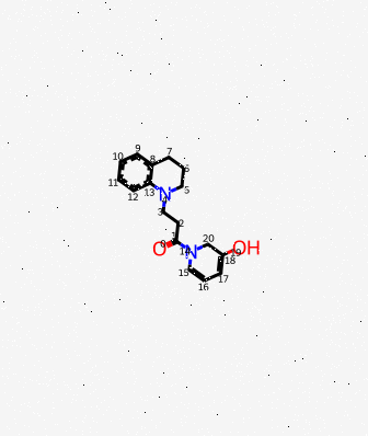 O=C(CCN1CCCc2ccccc21)N1C=CC=C(O)C1